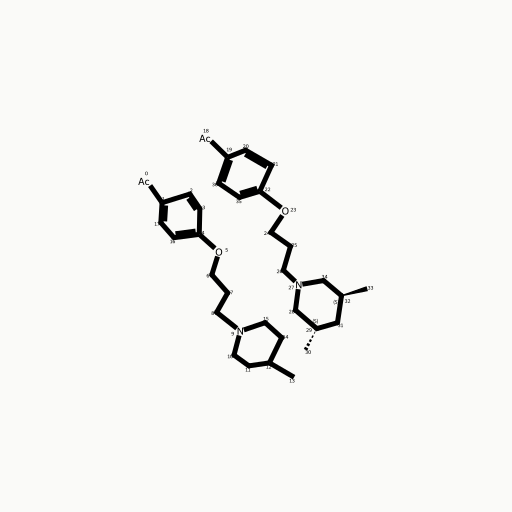 CC(=O)c1ccc(OCCCN2CCC(C)CC2)cc1.CC(=O)c1ccc(OCCCN2C[C@@H](C)C[C@H](C)C2)cc1